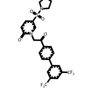 O=C(Cn1cc(S(=O)(=O)N2CCCC2)ccc1=O)c1ccc(-c2cc(C(F)(F)F)cc(C(F)(F)F)c2)cc1